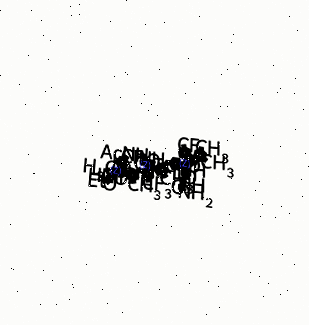 CCC(=O)NN/C(C)=C1\C(=O)N(c2cc(C)cc(Cc3cc(C(F)(F)F)cc4c3/C(=C(\C)NNC(C)=O)C(=O)N4c3cc(C)cc(Cc4ccc(/C(NNC(=O)CNC(N)=O)=C5/C(=O)N(c6cc(C)cc(C)c6)c6cc(C(F)(F)F)ccc65)cc4)c3)c2)c2cc(C(F)(F)F)ccc21